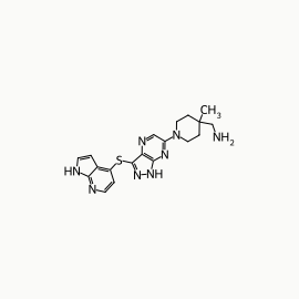 CC1(CN)CCN(c2cnc3c(Sc4ccnc5[nH]ccc45)n[nH]c3n2)CC1